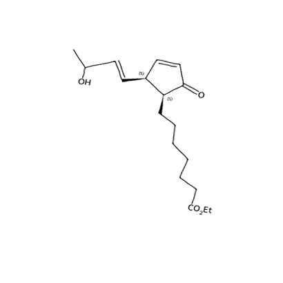 CCOC(=O)CCCCCC[C@@H]1C(=O)C=C[C@@H]1C=CC(C)O